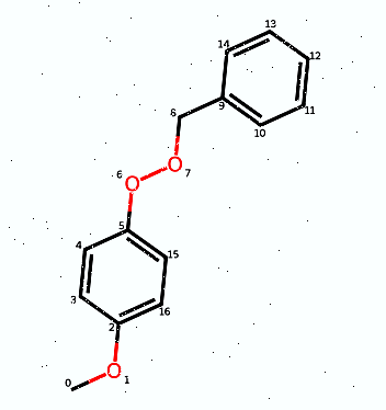 COc1ccc(OOCc2ccccc2)cc1